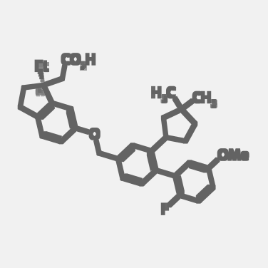 CC[C@@]1(CC(=O)O)CCc2ccc(OCc3ccc(-c4cc(OC)ccc4F)c(C4CCC(C)(C)C4)c3)cc21